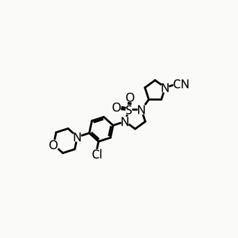 N#CN1CCC(N2CCN(c3ccc(N4CCOCC4)c(Cl)c3)S2(=O)=O)C1